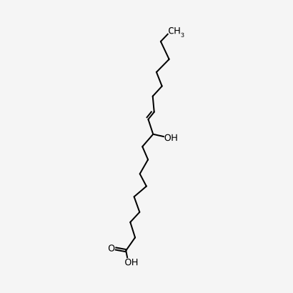 CCCCCC/C=C/C(O)CCCCCCCCC(=O)O